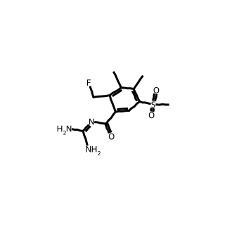 Cc1c(S(C)(=O)=O)cc(C(=O)N=C(N)N)c(CF)c1C